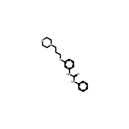 O=C(Nc1ccccc1)Nc1cccc(OCCCN2CCOCC2)c1